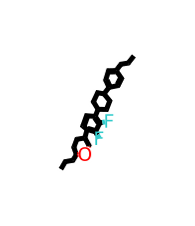 CCCc1ccc(C2CCC(c3ccc(C4CCC(CCC)OC4)c(F)c3F)CC2)cc1